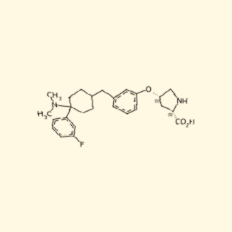 CN(C)C1(c2cccc(F)c2)CCC(Cc2cccc(O[C@@H]3CN[C@H](C(=O)O)C3)c2)CC1